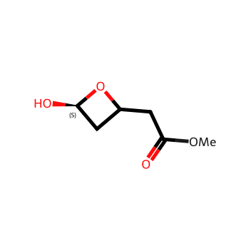 COC(=O)CC1C[C@@H](O)O1